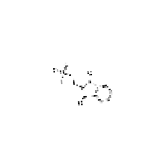 O=C1c2ccccc2C(=O)N1CCS(=O)(=O)I